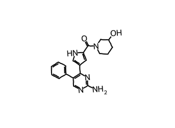 Nc1ncc(-c2ccccc2)c(-c2c[nH]c(C(=O)N3CCCC(O)C3)c2)n1